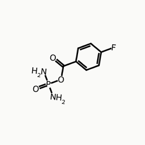 NP(N)(=O)OC(=O)c1ccc(F)cc1